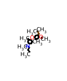 CCCCN(C)c1cc(C)c(Oc2ccc(OC)c(SC(C)C)c2)c(C)c1